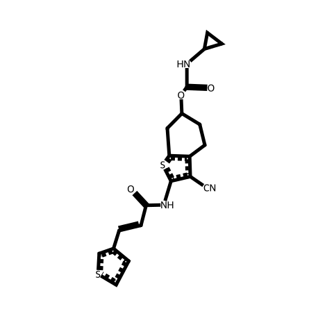 N#Cc1c(NC(=O)C=Cc2ccsc2)sc2c1CCC(OC(=O)NC1CC1)C2